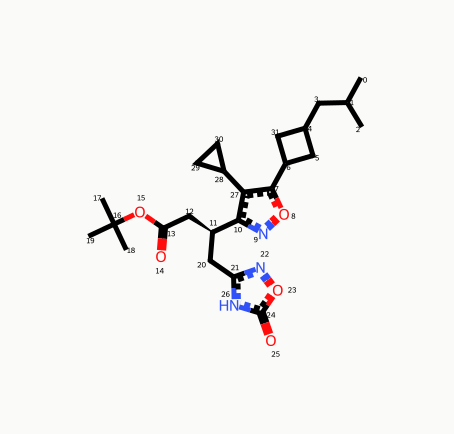 CC(C)CC1CC(c2onc([C@H](CC(=O)OC(C)(C)C)Cc3noc(=O)[nH]3)c2C2CC2)C1